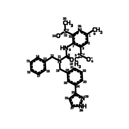 Cc1cc([S+](C)[O-])c(NC(=O)N(Cc2ccccc2)Cc2cccc(-c3cc[nH]n3)c2)c([S+](C)[O-])n1